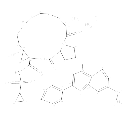 COc1ccc2c(O[C@@H]3CC4C(=O)N[C@]5(C(=O)NS(=O)(=O)C6CC6)C[C@H]5CCCCCCC[C@H](N)C(=O)N4C3)cc(-c3ccccc3)nc2c1.Cl.Cl